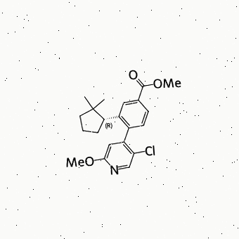 COC(=O)c1ccc(-c2cc(OC)ncc2Cl)c([C@@H]2CCCC2(C)C)c1